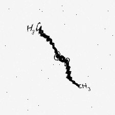 CCCCCCCCCCCCCCCOC(=O)c1ccc(C(=O)OCCCCCCCCCCCCC)cc1